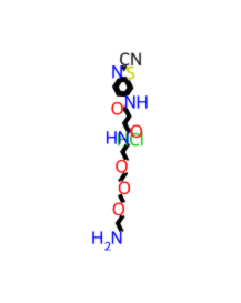 Cl.N#Cc1nc2ccc(NC(=O)CCC(=O)NCCCOCCOCCOCCCN)cc2s1